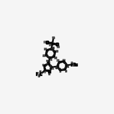 CCCCc1ccc(-c2nc(C(F)(F)F)cn2-c2ccc(S(C)(=O)=O)cc2)cc1